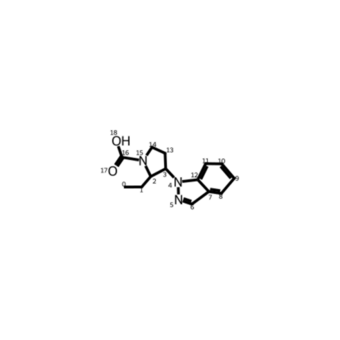 CCC1C(n2ncc3ccccc32)CCN1C(=O)O